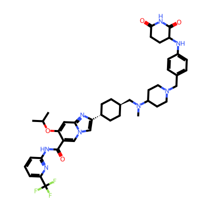 CC(C)Oc1cc2nc([C@H]3CC[C@H](CN(C)C4CCN(Cc5ccc(NC6CCC(=O)NC6=O)cc5)CC4)CC3)cn2cc1C(=O)Nc1cccc(C(F)(F)F)n1